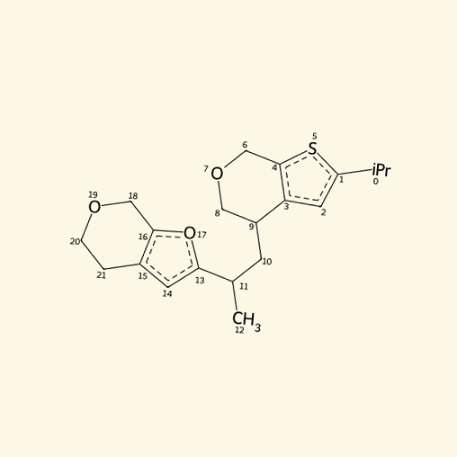 CC(C)c1cc2c(s1)COCC2CC(C)c1cc2c(o1)COCC2